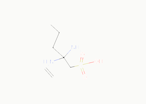 C=C.CCCC(N)(N)CS(=O)(=O)O